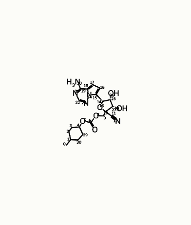 CC1CCC(OC(=O)OC[C@@]2(C#N)O[C@@H](c3ccc4c(N)ncnn34)[C@H](O)[C@@H]2O)CC1